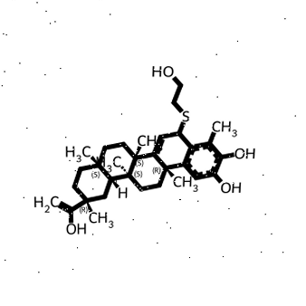 C=C(O)[C@]1(C)CC[C@]2(C)CC[C@]3(C)C4=CC(SCCO)c5c(cc(O)c(O)c5C)[C@]4(C)CC[C@@]3(C)[C@@H]2C1